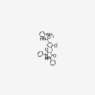 COc1cc(C(=O)Nc2ccccc2N)ccc1CC(C(=O)Nc1ccccc1)C(=O)Nc1ccccc1